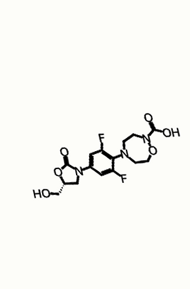 O=C(O)N1CCN(c2c(F)cc(N3C[C@H](CO)OC3=O)cc2F)CCO1